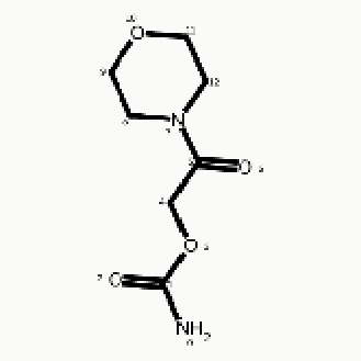 NC(=O)OCC(=O)N1CCOCC1